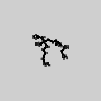 CCO.CO[Si](C)(CCCN)OCCCN